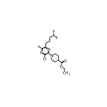 CCOC(=O)C1CCN(c2nc(CCCC(F)F)c(I)nc2Cl)CC1